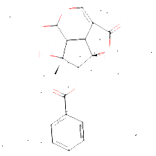 C[C@]1(O)[C@@H](OC(=O)c2ccccc2)[C@H]2OC(=O)C3=COC(O)[C@H]1[C@@H]32